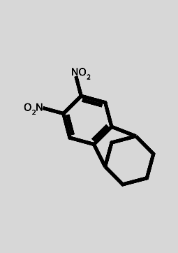 O=[N+]([O-])c1cc2c(cc1[N+](=O)[O-])C1CCCC2C1